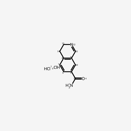 Cl.Cl.NC(=O)c1ccc2c(c1)C=NCC2